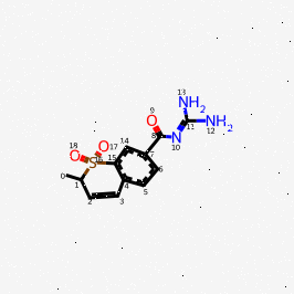 CC1C=Cc2ccc(C(=O)N=C(N)N)cc2S1(=O)=O